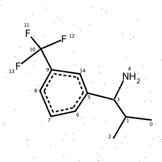 CC(C)C(N)c1cccc(C(F)(F)F)c1